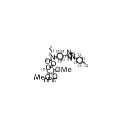 C=CCN(C(=O)O[C@@H]1O[C@@H](C)[C@H](OC)[C@@H](OCCC)[C@H]1OC)c1ccc(-c2ncn(-c3ccc(C)cc3)n2)cc1